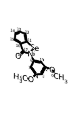 COc1cc(OC)cc(-n2[se]c3ccccc3c2=O)c1